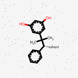 CCCCC[C@H](c1ccccc1)C(C)(C)c1cc(O)cc(O)c1